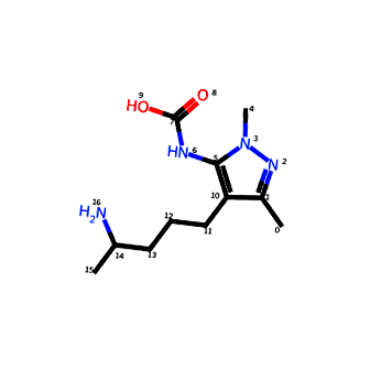 Cc1nn(C)c(NC(=O)O)c1CCCC(C)N